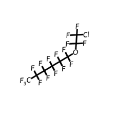 FC(F)(F)C(F)(F)C(F)(F)C(F)(F)C(F)(F)C(F)(F)OC(F)(F)C(F)(F)Cl